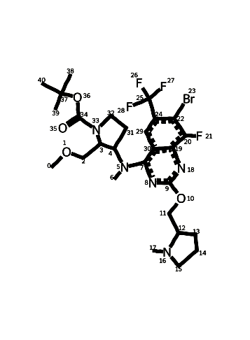 COCC1C(N(C)c2nc(OCC3CCCN3C)nc3c(F)c(Br)c(C(F)(F)F)cc23)CCN1C(=O)OC(C)(C)C